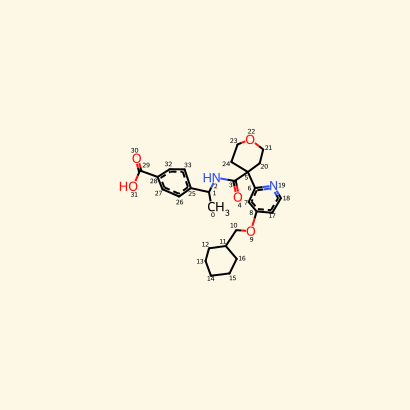 CC(NC(=O)C1(c2cc(OCC3CCCCC3)ccn2)CCOCC1)c1ccc(C(=O)O)cc1